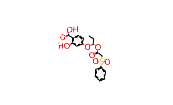 CCC(OC(=O)CS(=O)(=O)c1ccccc1)Oc1ccc(C(=O)O)c(O)c1